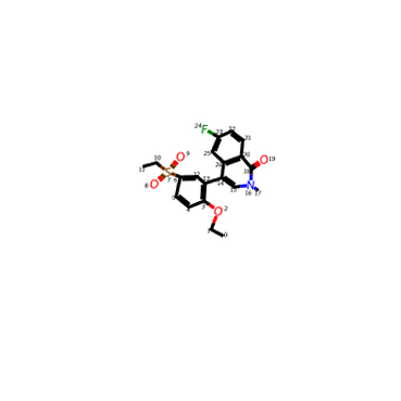 CCOc1ccc(S(=O)(=O)CC)cc1-c1cn(C)c(=O)c2ccc(F)cc12